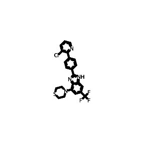 FC(F)(F)c1cc(N2CCSCC2)c2nc(-c3ccc(-c4ncccc4Cl)cc3)[nH]c2c1